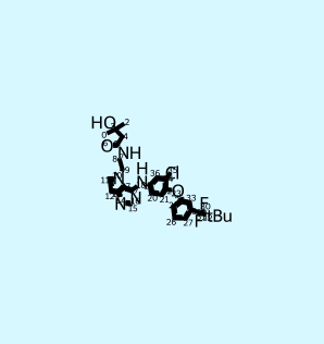 CC(C)(O)CC(=O)NCCn1ccc2ncnc(Nc3ccc(Oc4cccc(C(F)(F)C(C)(C)C)c4)c(Cl)c3)c21